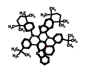 CC(C)(C)c1ccc2c(c1)-c1c3c(cc4c1sc1ccccc14)N(c1ccc(C(C)(C)C)cc1-c1ccccc1)c1c(sc4cc5c(cc14)C(C)(C)CCC5(C)C)B3N2c1ccc2c(c1)C(C)(C)CCC2(C)C